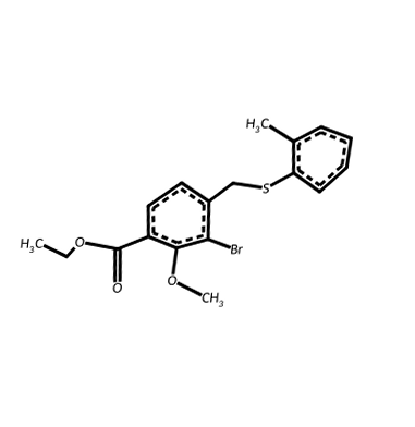 CCOC(=O)c1ccc(CSc2ccccc2C)c(Br)c1OC